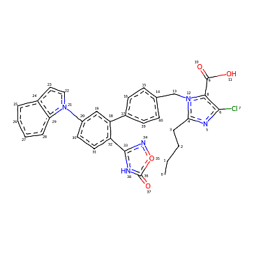 CCCCc1nc(Cl)c(C(=O)O)n1Cc1ccc(-c2cc(-n3ccc4ccccc43)ccc2-c2noc(=O)[nH]2)cc1